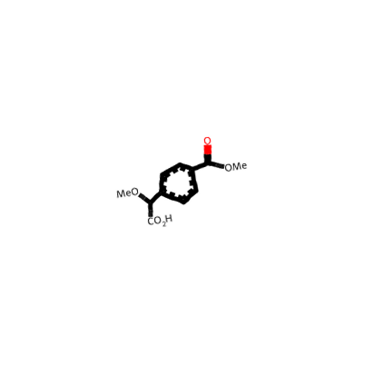 COC(=O)c1ccc(C(OC)C(=O)O)cc1